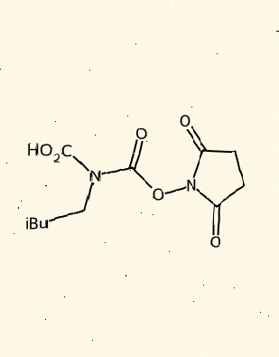 CCC(C)CN(C(=O)O)C(=O)ON1C(=O)CCC1=O